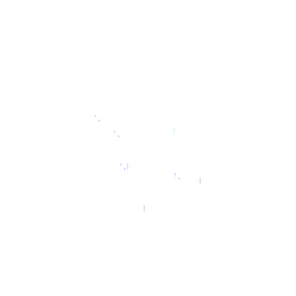 CCCN(C)C(=O)c1cc2[nH]c(=O)c3cnc(-c4ccccc4)n3c2cc1Cl